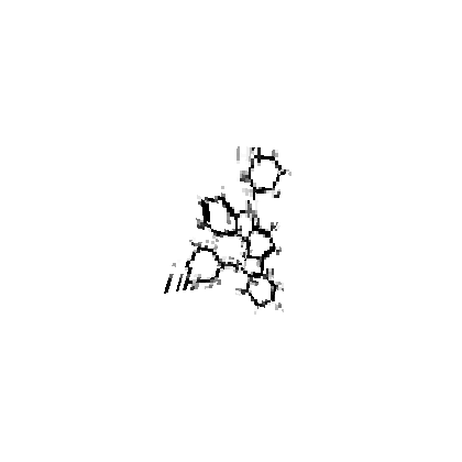 c1ccc2c(c1)c1c3c(ccc1n2C1CCCNC1)c1c(n3C2CCCNC2)CCCC1